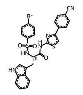 N#Cc1ccc(-c2csc(NC(=O)[C@H](Cc3c[nH]c4ccccc34)NS(=O)(=O)c3ccc(Br)cc3)n2)cc1